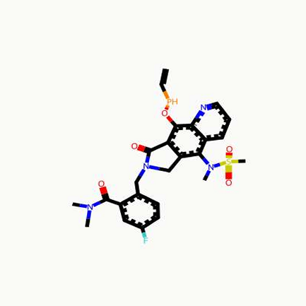 C=CPOc1c2c(c(N(C)S(C)(=O)=O)c3cccnc13)CN(Cc1ccc(F)cc1C(=O)N(C)C)C2=O